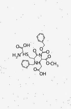 COC(=O)C(CCC(=O)O)N(C(=O)OCc1ccccc1)C(=O)C(CS)NCc1ccccc1.NCC(=O)O